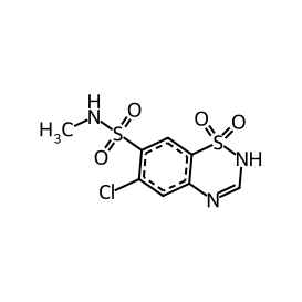 CNS(=O)(=O)c1cc2c(cc1Cl)N=CNS2(=O)=O